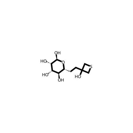 O[C@@H]1[C@H](O)[C@@H](O)O[C@H](CCC2(O)CSC2)[C@H]1O